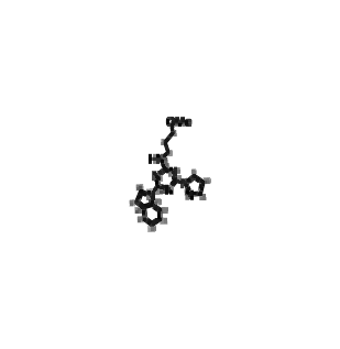 COCCCNc1nc(-n2cccn2)nc(-n2ccc3ccccc32)n1